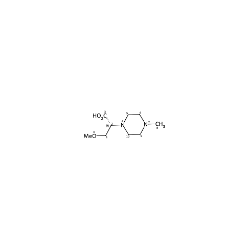 COC[C@H](C(=O)O)N1CCN(C)CC1